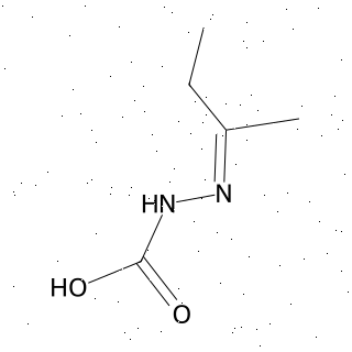 CC/C(C)=N\NC(=O)O